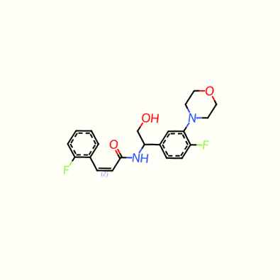 O=C(/C=C\c1ccccc1F)NC(CO)c1ccc(F)c(N2CCOCC2)c1